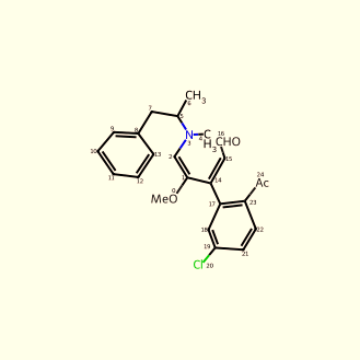 COC(=C/N(C)C(C)Cc1ccccc1)/C(=C\C=O)c1cc(Cl)ccc1C(C)=O